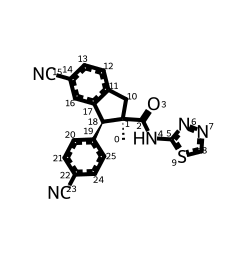 C[C@@]1(C(=O)Nc2nncs2)Cc2ccc(C#N)cc2[C@@H]1c1ccc(C#N)cc1